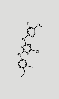 COc1ccc(Nc2nc(Cl)nc(Nc3ccc(OC)c(F)c3)n2)cc1F